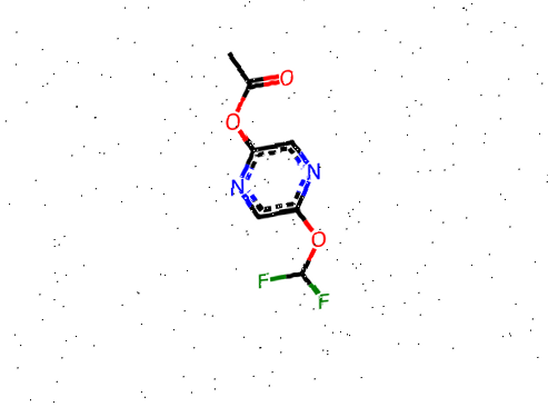 CC(=O)Oc1cnc(OC(F)F)cn1